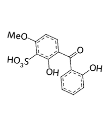 COc1ccc(C(=O)c2ccccc2O)c(O)c1S(=O)(=O)O